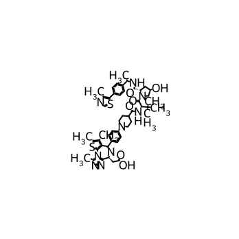 Cc1ncsc1-c1ccc(C(C)NC(=O)[C@@H]2C[C@@H](O)CN2C(=O)C(NC(=O)C2CCN(c3ccc(C4=N[C@@H](CC(=O)O)c5nnc(C)n5-c5sc(C)c(C)c54)cc3)CC2)C(C)(C)C)cc1